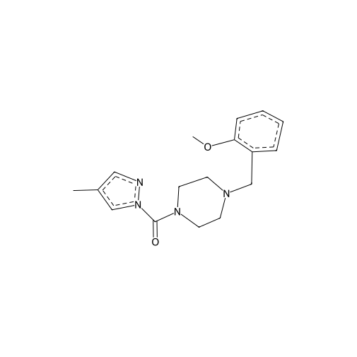 COc1ccccc1CN1CCN(C(=O)n2cc(C)cn2)CC1